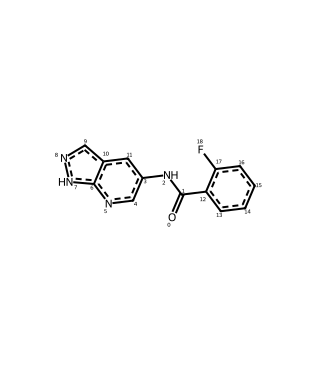 O=C(Nc1cnc2[nH]ncc2c1)c1ccccc1F